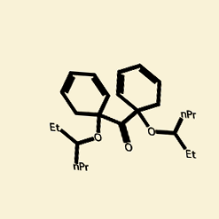 CCCC(CC)OC1(C(=O)C2(OC(CC)CCC)C=CC=CC2)C=CC=CC1